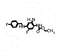 CCOC(=O)Nc1cc(F)c(NCc2ccc(F)cc2)cc1N